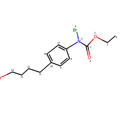 CCOC(=O)N(Br)c1ccc(CCCCO)cc1